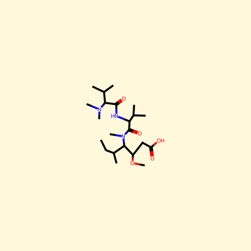 CCC(C)C(C(CC(=O)O)OC)N(C)C(=O)C(NC(=O)C(C(C)C)N(C)C)C(C)C